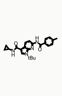 Cc1ccc(C(=O)Nc2ccc3c(C(=O)NC4CC4)cn(C(C)(C)C)c3n2)cc1